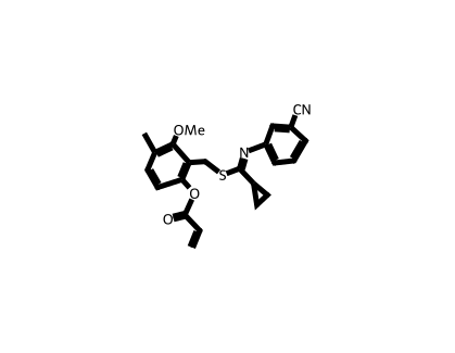 C=CC(=O)Oc1ccc(C)c(OC)c1CSC(=Nc1cccc(C#N)c1)C1CC1